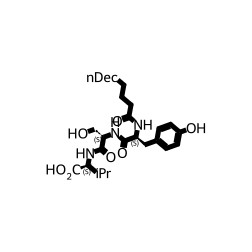 CCCCCCCCCCCCCC(=O)N[C@@H](Cc1ccc(O)cc1)C(=O)N[C@@H](CO)C(=O)N[C@H](C(=O)O)C(C)C